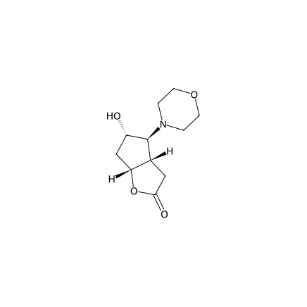 O=C1C[C@H]2[C@H](N3CCOCC3)[C@@H](O)C[C@H]2O1